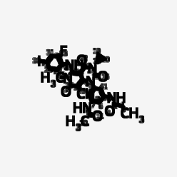 CCC(=O)Nc1cc(NC(C)=O)cc(-n2c(=O)n(C3CC3)c(=O)c3c(Nc4ccc(I)cc4F)n(C)c(=O)c(C)c32)c1